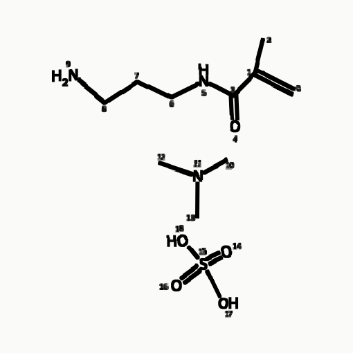 C=C(C)C(=O)NCCCN.CN(C)C.O=S(=O)(O)O